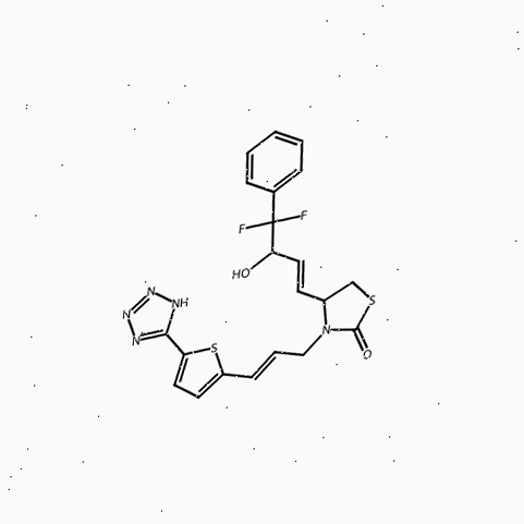 O=C1SCC(C=CC(O)C(F)(F)c2ccccc2)N1CC=Cc1ccc(-c2nnn[nH]2)s1